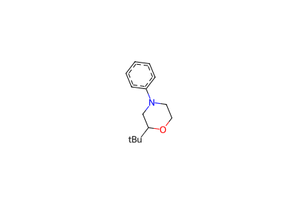 CC(C)(C)C1CN(c2ccccc2)CCO1